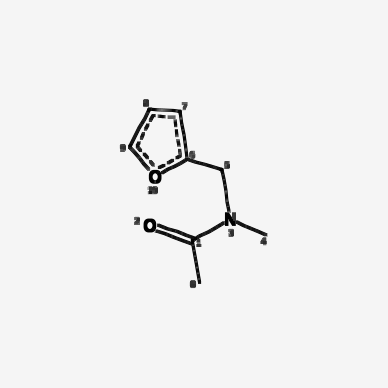 CC(=O)N(C)Cc1ccco1